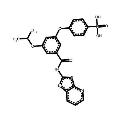 CC(C)Oc1cc(Oc2ccc(P(=O)(O)O)cc2)cc(C(=O)Nc2nc3cccnc3s2)c1